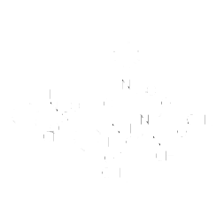 C=C1N(C)C(OC)C(=O)N1C(C(=O)Nc1cc(S(=O)(=O)Nc2ccccc2Cl)ccc1OC)C(=O)N1CCc2ccccc21